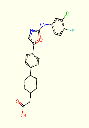 O=C(O)CC1CCC(c2ccc(-c3cnc(Nc4ccc(F)c(Cl)c4)o3)cc2)CC1